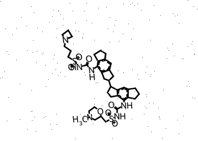 CN1CCOC(CS(=O)(=O)NC(=O)Nc2c3c(cc4c2CCC4C2Cc4cc5c(c(NC(=O)NS(=O)(=O)CCCN6CCC6)c4C2)CCC5)CCC3)C1